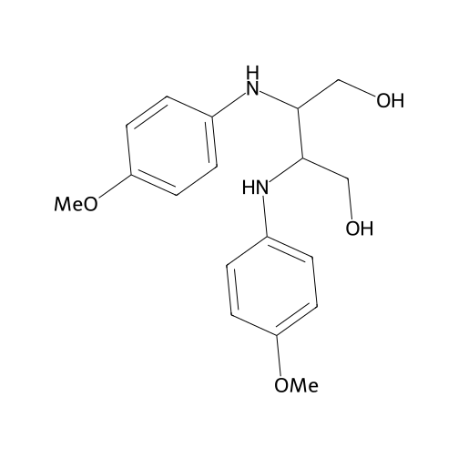 COc1ccc(NC(CO)C(CO)Nc2ccc(OC)cc2)cc1